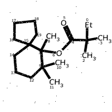 CCC(C)(C)C(=O)OC1(C)C(C)(C)CCCC12CCCC2